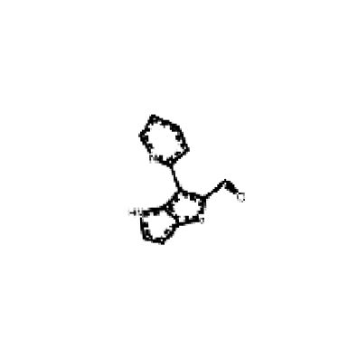 O=Cc1sc2cc[nH]c2c1-c1ccccn1